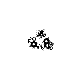 COc1cc(/C=N/N(C)C2=NS(=O)(=O)c3ccc(B4OC(C)(C)C(C)(C)O4)cc32)ccc1F